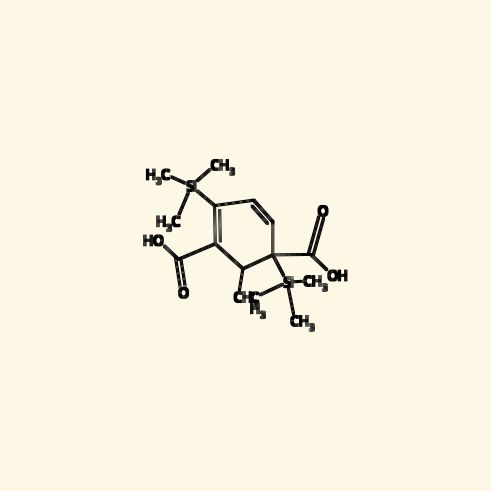 CC1C(C(=O)O)=C([Si](C)(C)C)C=CC1(C(=O)O)[Si](C)(C)C